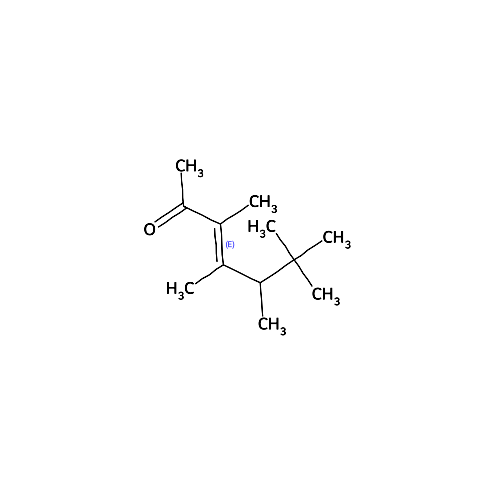 CC(=O)/C(C)=C(\C)C(C)C(C)(C)C